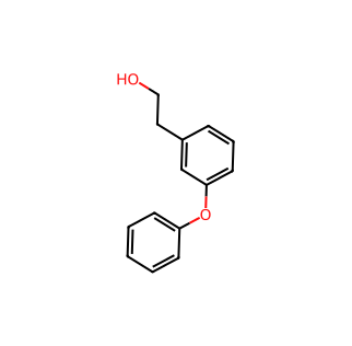 OCCc1cccc(Oc2ccccc2)c1